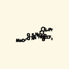 COCCOC(=O)c1nnc(N=Nc2cc3c(cc2NS(=O)(=O)CC(F)(F)F)N(CC(C)C)CCC3)s1